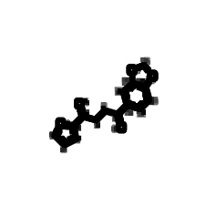 O=C(CCC(=O)c1ccco1)c1ccc2c(c1)OCO2